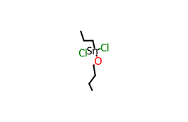 CCCC[O][Sn]([Cl])([Cl])[CH2]CC